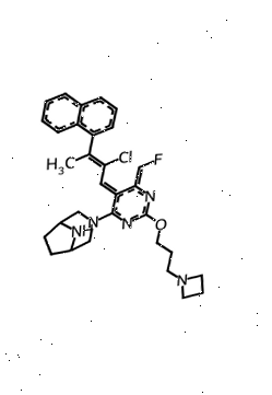 C\C(=C(Cl)/C=c1/c(N2CC3CCC(C2)N3)nc(OCCCN2CCC2)n/c1=C\F)c1cccc2ccccc12